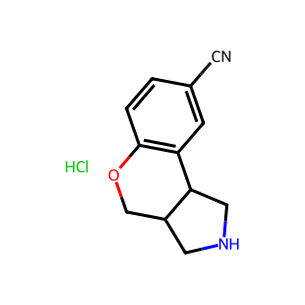 Cl.N#Cc1ccc2c(c1)C1CNCC1CO2